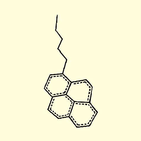 CCCCCc1ccc2ccc3cccc4ccc1c2c34